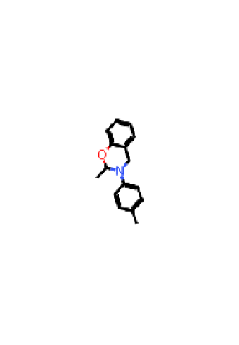 Cc1ccc(N2Cc3ccccc3OC2C)cc1